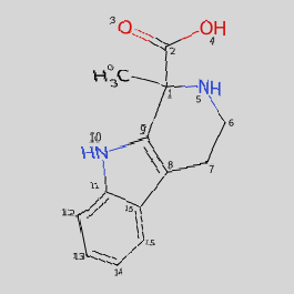 CC1(C(=O)O)NCCc2c1[nH]c1ccccc21